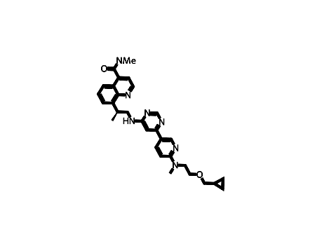 CNC(=O)c1ccnc2c([C@H](C)CNc3cc(-c4ccc(N(C)CCOCC5CC5)nc4)ncn3)cccc12